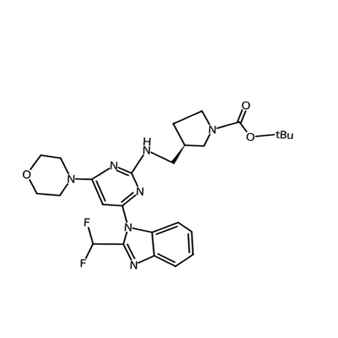 CC(C)(C)OC(=O)N1CC[C@H](CNc2nc(N3CCOCC3)cc(-n3c(C(F)F)nc4ccccc43)n2)C1